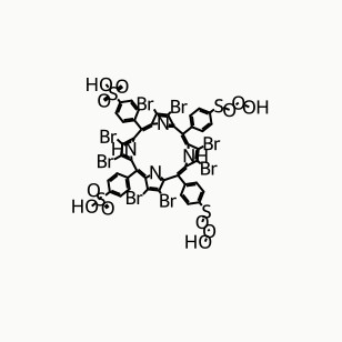 O=S(=O)(O)c1ccc(-c2c3nc(c(-c4ccc(SOOO)cc4)c4[nH]c(c(Br)c4Br)c(-c4ccc(SOOO)cc4)c4nc(c(-c5ccc(S(=O)(=O)O)cc5)c5[nH]c2c(Br)c5Br)C(Br)=C4Br)C(Br)=C3Br)cc1